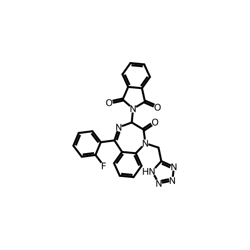 O=C1C(N2C(=O)c3ccccc3C2=O)N=C(c2ccccc2F)c2ccccc2N1Cc1nnn[nH]1